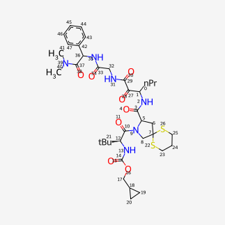 CCCC(NC(=O)C1CC2(CN1C(=O)[C@@H](NC(=O)OCC1CC1)C(C)(C)C)SCCCS2)C(=O)C(=O)NCC(=O)NC(C(=O)N(C)C)c1ccccc1